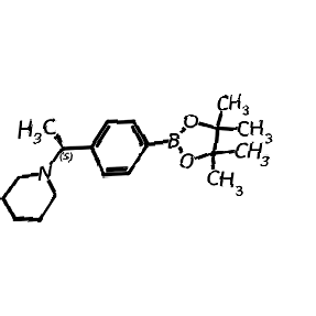 C[C@@H](c1ccc(B2OC(C)(C)C(C)(C)O2)cc1)N1CCCCC1